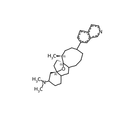 C[C@H]1CCC(c2ccc3ccncc3c2)CCCC2CC3CCC(N(C)C)C[C@]34CC[C@@]21O4